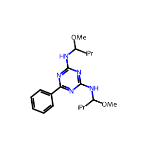 COC(Nc1nc(NC(OC)C(C)C)nc(-c2ccccc2)n1)C(C)C